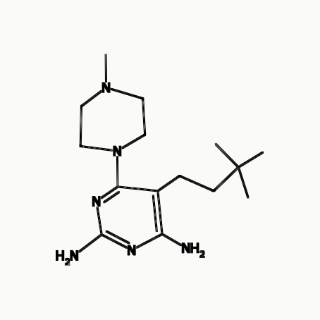 CN1CCN(c2nc(N)nc(N)c2CCC(C)(C)C)CC1